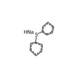 [NaH].c1ccc(Sc2ccccc2)cc1